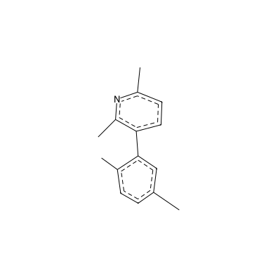 Cc1ccc(C)c(-c2ccc(C)nc2C)c1